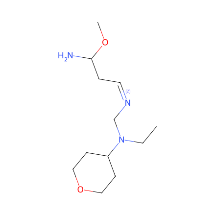 CCN(C/N=C\CC(N)OC)C1CCOCC1